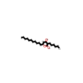 CCCCCCCCCCCC1CC(=O)C(CCCCCC)C(=O)O1